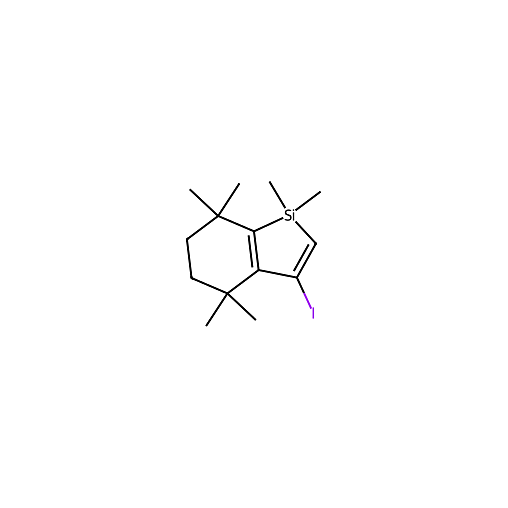 CC1(C)CCC(C)(C)C2=C1C(I)=C[Si]2(C)C